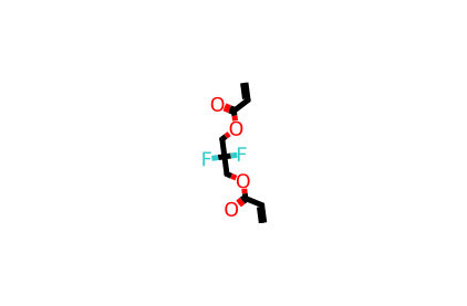 C=CC(=O)OCC(F)(F)COC(=O)C=C